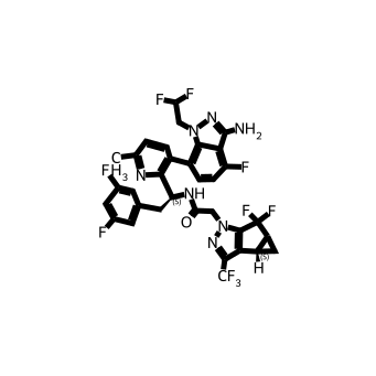 Cc1ccc(-c2ccc(F)c3c(N)nn(CC(F)F)c23)c([C@H](Cc2cc(F)cc(F)c2)NC(=O)Cn2nc(C(F)(F)F)c3c2C(F)(F)C2C[C@H]32)n1